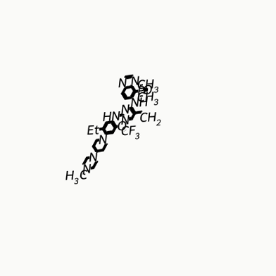 C=Cc1cnc(Nc2cc(CC)c(N3CCC(N4CCN(C)CC4)CC3)cc2OC(F)(F)F)nc1Nc1ccc2nccnc2c1P(C)(C)=O